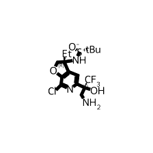 CC[C@]1(N[S+]([O-])C(C)(C)C)COc2c1cc([C@@](O)(CN)C(F)(F)F)nc2Cl